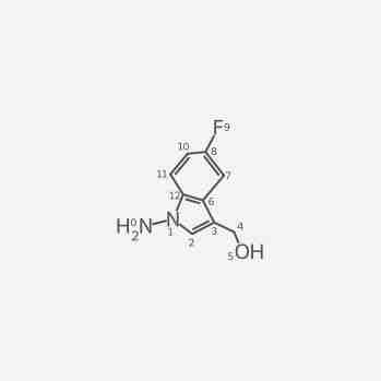 Nn1cc(CO)c2cc(F)ccc21